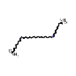 NC(=O)CCCCCCC/C=C\CCCCCCCCCCCCCC/C=C\CCCCCCCC(N)=O